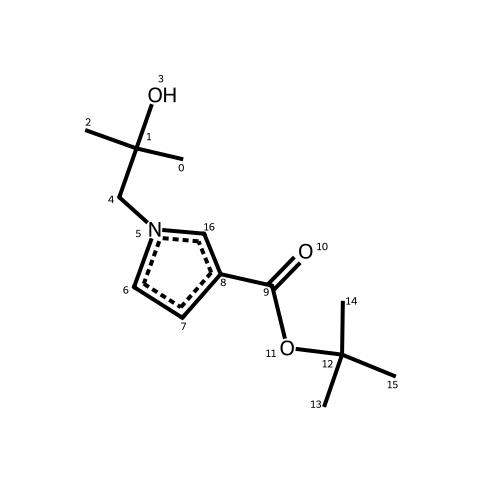 CC(C)(O)Cn1ccc(C(=O)OC(C)(C)C)c1